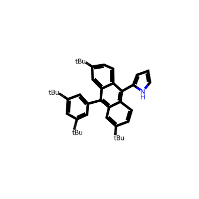 CC(C)(C)c1cc(-c2c3cc(C(C)(C)C)ccc3c(-c3ccc[nH]3)c3ccc(C(C)(C)C)cc23)cc(C(C)(C)C)c1